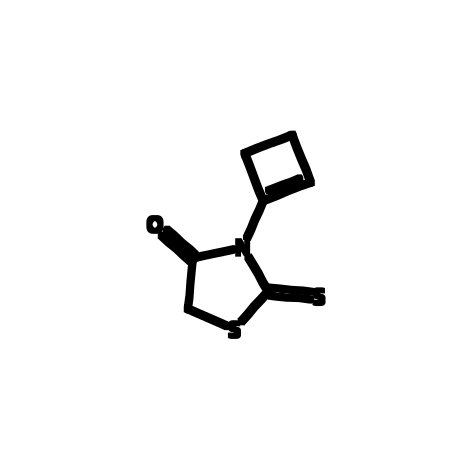 O=C1CSC(=S)N1C1=CCC1